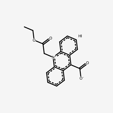 CCOC(=O)C[n+]1c2ccccc2c(C(=O)[O-])c2ccccc21.I